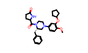 COc1ccc(N2CCN(C(=O)C3CCC(=O)N3)[C@@H](Cc3ccccc3)C2)cc1OC1CCCC1